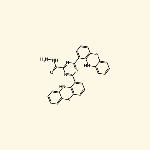 NNC(=O)c1nc(-c2cccc3c2Nc2ccccc2S3)nc(-c2cccc3c2Nc2ccccc2S3)n1